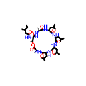 CCC(C)CC(=O)N[C@@H]1C(=O)N[C@@H](C)C(=O)NC(CC(C)C)C(=O)NC(CC(C)C)C(=O)NC(CC(C)C)C(=O)NC(CC(C)C)C(=O)N[C@@H](C)C(=O)O[C@@H]1C